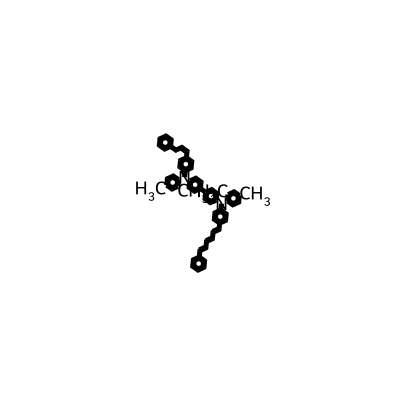 Cc1ccc(N(c2ccc(C=CC=CC=Cc3ccccc3)cc2)c2ccc(-c3ccc(N(c4ccc(/C=C\Cc5ccccc5)cc4)c4ccc(C)cc4C)cc3)cc2)c(C)c1